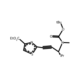 CCOC(=O)c1csc(C#C[C@H](C(C)C)N(C)C(=O)OC(C)(C)C)n1